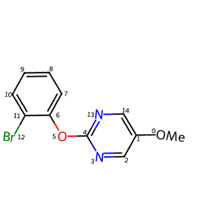 COc1cnc(Oc2ccccc2Br)nc1